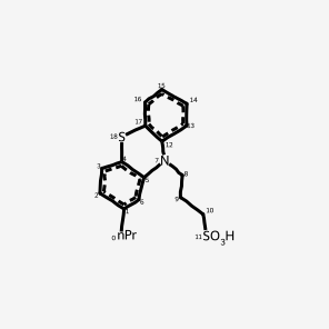 CCCc1ccc2c(c1)N(CCCS(=O)(=O)O)c1ccccc1S2